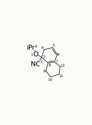 CC(C)OC1(C#N)CC=CC2=C1CCCC2